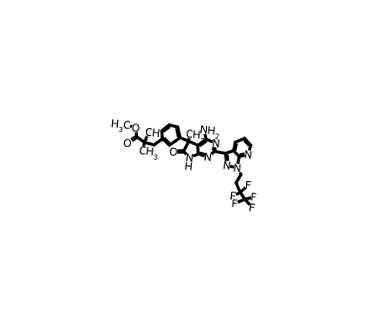 COC(=O)C(C)(C)Cc1cccc(C2(C)C(=O)Nc3nc(-c4nn(CCC(F)(F)C(F)(F)F)c5ncccc45)nc(N)c32)c1